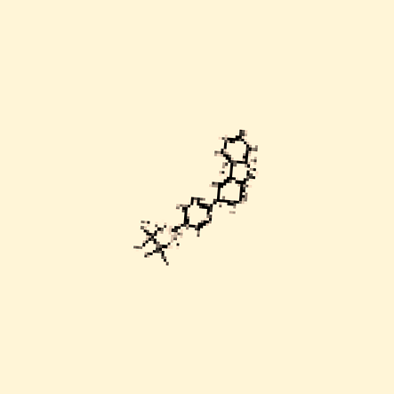 CC1(C)OB(c2ccc(-c3cnc4oc5ccccc5c4c3)nc2)OC1(C)C